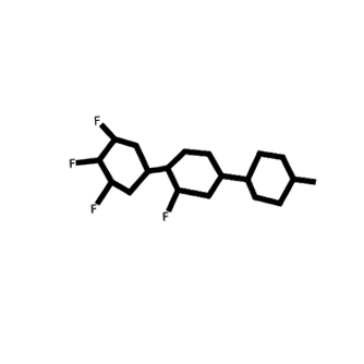 CC1CCC(C2CCC(C3CC(F)C(F)C(F)C3)C(F)C2)CC1